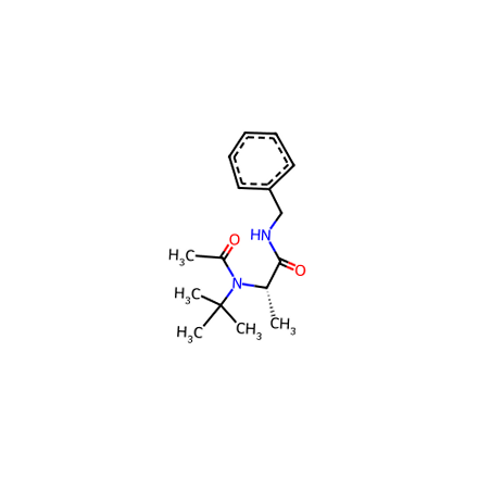 CC(=O)N([C@@H](C)C(=O)NCc1ccccc1)C(C)(C)C